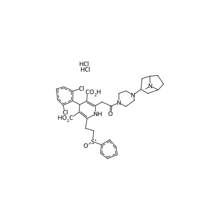 CN1C2CCC1CC(N1CCN(C(=O)CC3=C(C(=O)O)C(c4c(Cl)cccc4Cl)C(C(=O)O)=C(CC[S+]([O-])c4ccccc4)N3)CC1)C2.Cl.Cl